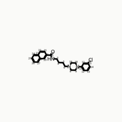 O=C(NCCCCN1CCN(c2cccc(Cl)c2)CC1)c1ccc2ccccc2c1